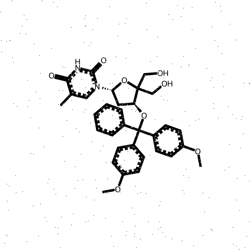 COc1ccc(C(O[C@H]2C[C@H](n3cc(C)c(=O)[nH]c3=O)OC2(CO)CO)(c2ccccc2)c2ccc(OC)cc2)cc1